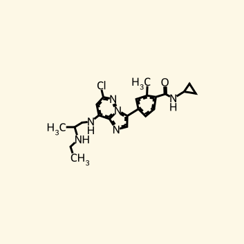 CCNC(C)CNc1cc(Cl)nn2c(-c3ccc(C(=O)NC4CC4)c(C)c3)cnc12